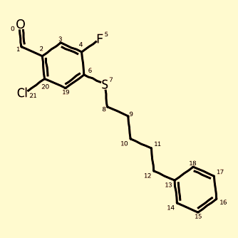 O=Cc1cc(F)c(SCCCCCc2ccccc2)cc1Cl